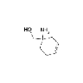 NC1(CO)CC=CCC1